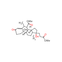 COC(=O)CC[C@@]1(O)CC[C@H]2[C@@H]3C(C(=O)OC)C(C)C4=CC(=O)CC[C@]4(C)[C@H]3CC[C@@]21C